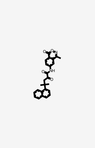 Cc1noc(=O)c2ccc(NC(=O)C(=O)CC(C)(C)c3cccc4ccccc34)cc12